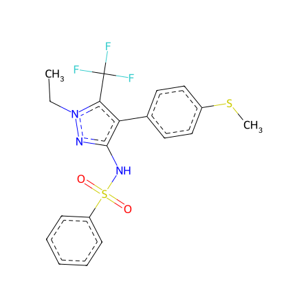 CCn1nc(NS(=O)(=O)c2ccccc2)c(-c2ccc(SC)cc2)c1C(F)(F)F